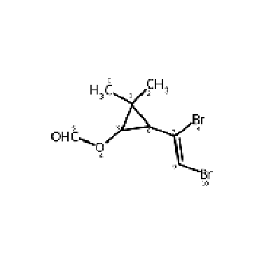 CC1(C)C(OC=O)C1C(Br)=CBr